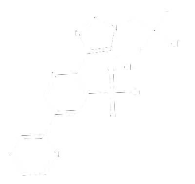 CCS(=O)(=O)c1cc(-c2ccccn2)cnc1-c1ncn(CC(F)(F)C(F)(F)F)c1C